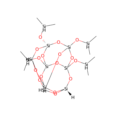 C[SiH](C)O[Si]12O[Si]3(O[SiH](C)C)O[SiH]4O[SiH]5O[SiH](O[Si](O[SiH](C)C)(O1)O[Si@](O[SiH](C)C)(O5)O3)O[Si@H](O4)O2